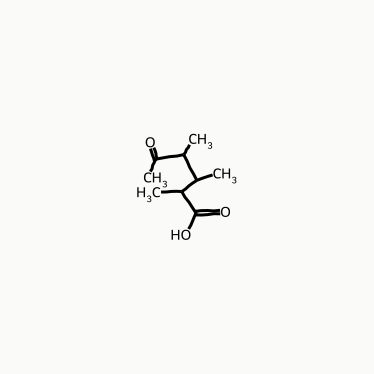 CC(=O)C(C)C(C)C(C)C(=O)O